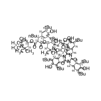 CCCCC(c1cc(C(C)(C)C)c(O)c(C(C)(C)C)c1)C(C(=O)OC1CC(C)(C)N(C)C(C)(C)C1)C(=O)OC1CC(C)(C)N(C)C(C)(CCC(C)(C)c2cc(Cn3c(=O)n(Cc4cc(C(C)(C)C)c(O)c(C(C)(C)C)c4)c(=O)n(Cc4cc(C(C)(C)C)c(O)c(C(C)(C)C)c4)c3=O)cc(C(C)(C)C)c2O)C1